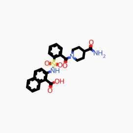 NC(=O)C1CCN(C(=O)c2ccccc2S(=O)(=O)Nc2ccc3ccccc3c2C(=O)O)CC1